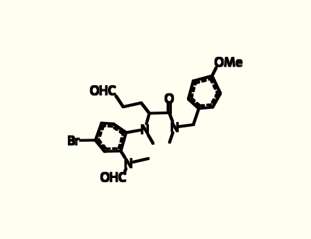 COc1ccc(CN(C)C(=O)C(CCC=O)N(C)c2ccc(Br)cc2N(C)C=O)cc1